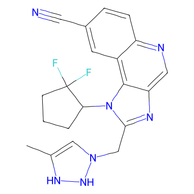 CC1=CN(Cc2nc3cnc4ccc(C#N)cc4c3n2C2CCCC2(F)F)NN1